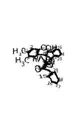 Cc1cc2c(cc1C)C1(NC(=O)C(=O)c3ccccc3)C(=O)c3ccccc3C1(O)O2